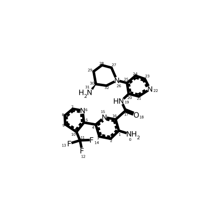 Nc1ccc(-c2ncccc2C(F)(F)F)nc1C(=O)Nc1cnccc1N1CCC[C@H](N)C1